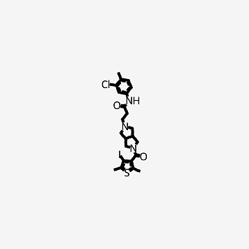 Cc1ccc(NC(=O)CCN2CC3CN(C(=O)c4c(C)sc(C)c4I)CC3C2)cc1Cl